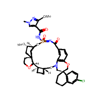 COc1nn(C)cc1C(=O)NS1(=O)=NC(=O)c2ccc3c(c2)N(C[C@@H]2CC[C@H]2[C@H]2OCC[C@@]24C[C@H](C1)[C@@H](OC)C4)C[C@@]1(CCCc2cc(Cl)ccc21)CO3